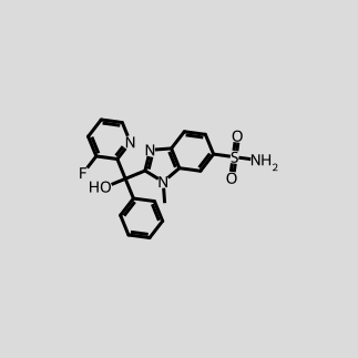 Cn1c(C(O)(c2ccccc2)c2ncccc2F)nc2ccc(S(N)(=O)=O)cc21